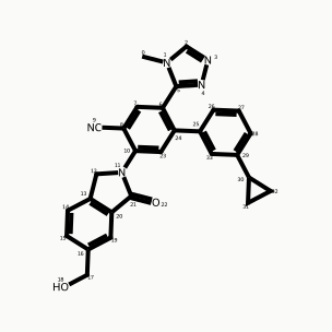 Cn1cnnc1-c1cc(C#N)c(N2Cc3ccc(CO)cc3C2=O)cc1-c1cccc(C2CC2)c1